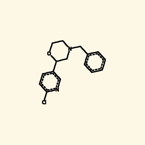 Clc1ccc(C2CN(Cc3ccccc3)CCO2)cn1